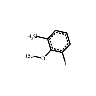 CC(C)(C)Oc1c([SiH3])cccc1I